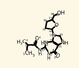 CC(C)C(=O)NC1NC(=O)C2=C(N1)N(C1CCC(CO)O1)CN2